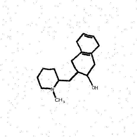 CN1CCCCC1CC1CC2=C(CC=CC2)CC1O